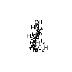 Cc1c(NC(=O)c2cc(C3CC3)c(CN[C@H]3C[C@@H](O)C3)cn2)cccc1-c1cccc(NC(=O)c2cc(C3CC3)c(CN3CCCC[C@H]3C(=O)O)cn2)c1C